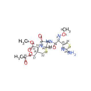 CON=C(C(=O)N[C@H]1C(=O)N2C(C(=O)OC)=C(COC(C)=O)CS[C@H]12)c1csc(N)n1